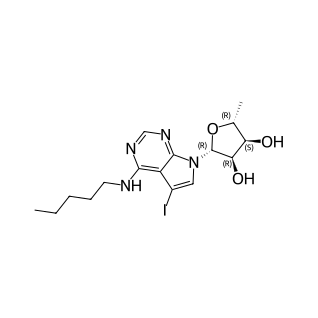 CCCCCNc1ncnc2c1c(I)cn2[C@@H]1O[C@H](C)[C@@H](O)[C@H]1O